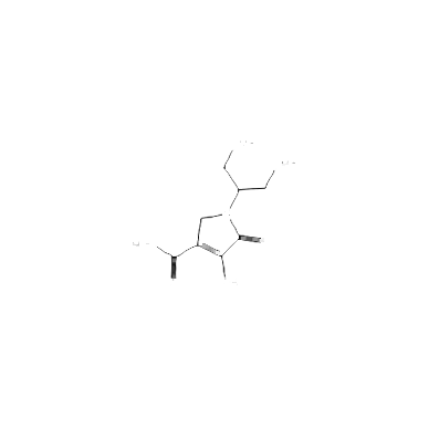 COC(=O)C1=C(O)C(=O)N(C(CSC)CSC)C1